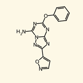 Nc1nc(Oc2ccccc2)nc2nc(-c3ccno3)nn12